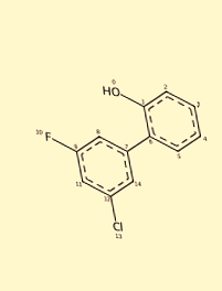 Oc1c[c]ccc1-c1cc(F)cc(Cl)c1